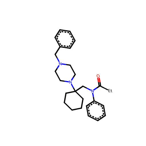 CCC(=O)N(CC1(N2CCN(Cc3ccccc3)CC2)CCCCC1)c1ccccc1